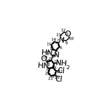 Nc1c(-c2nc3cc(N4CCOCC4)ccc3[nH]2)c(=O)[nH]c2ccc(Cl)c(Cl)c12